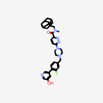 CN(CC12CC3CC(CC(C3)C1)C2)C(=O)c1ccc(N2CCN(Cc3ccc(-c4cncc(O)c4)c(F)c3)CC2)nn1